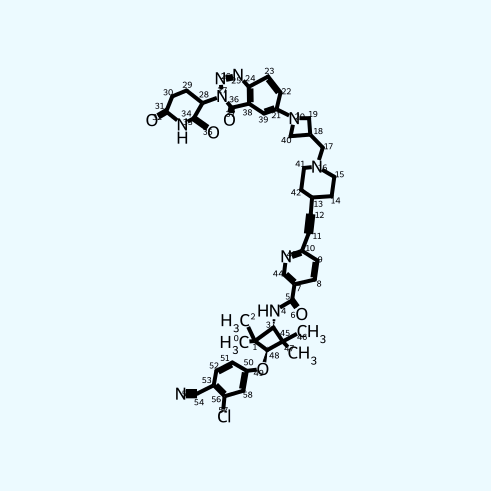 CC1(C)[C@H](NC(=O)c2ccc(C#CC3CCN(CC4CN(c5ccc6nnn(C7CCC(=O)NC7=O)c(=O)c6c5)C4)CC3)nc2)C(C)(C)[C@H]1Oc1ccc(C#N)c(Cl)c1